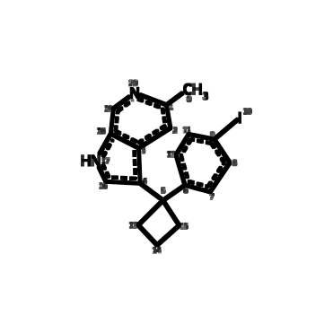 Cc1cc2c(C3(c4ccc(I)cc4)CCC3)c[nH]c2cn1